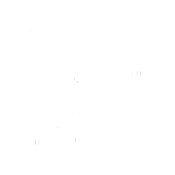 CCC1=C[C@@H](OC=O)N(C(=O)OC(C)(C)C)C1